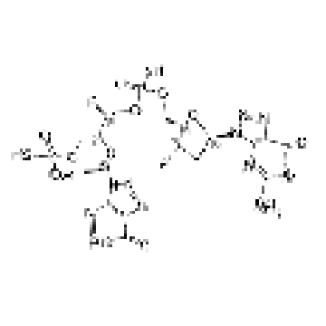 C[C@@H](O[C@H](COP(=O)(O)S)[C@@H](F)OP(=O)(S)OC[C@H]1O[C@@H](n2nnc3c(=O)[nH]c(N)nc32)C[C@@H]1F)n1nnc2c(=O)[nH]cnc21